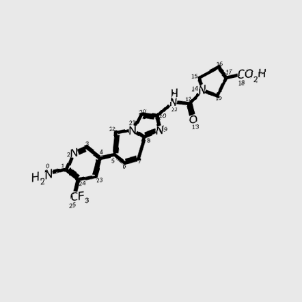 Nc1ncc(-c2ccc3nc(NC(=O)N4CCC(C(=O)O)C4)cn3c2)cc1C(F)(F)F